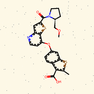 COC[C@@H]1CCCN1C(=O)c1cc2nccc(Oc3ccc4c(C(=O)O)c(C)sc4c3)c2s1